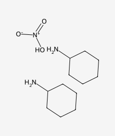 NC1CCCCC1.NC1CCCCC1.O=[N+]([O-])O